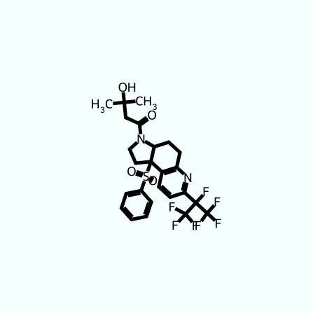 CC(C)(O)CC(=O)N1CCC2(S(=O)(=O)c3ccccc3)c3ccc(C(F)(C(F)(F)F)C(F)(F)F)nc3CCC12